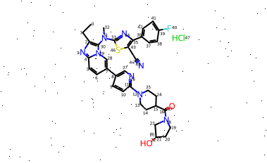 CCc1nc2ccc(-c3ccc(N4CCC(C(=O)N5CC[C@@H](O)C5)CC4)nc3)cn2c1N(C)c1nc(-c2ccc(F)cc2)c(C#N)s1.Cl